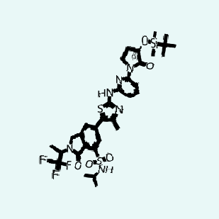 Cc1nc(Nc2cccc(N3CC[C@H](O[Si](C)(C)C(C)(C)C)C3=O)n2)sc1-c1cc2c(c(S(=O)(=O)NC(C)C)c1)C(=O)N(C(C)C(F)(F)F)C2